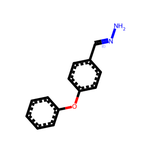 N/N=C/c1ccc(Oc2ccccc2)cc1